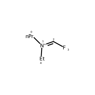 CCC[N+](=CF)CC